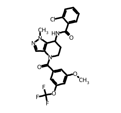 COc1cc(OC(F)(F)F)cc(C(=O)N2CCC(NC(=O)c3ccccc3Cl)c3c2cnn3C)c1